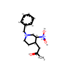 CC(=O)CC1CCN(Cc2ccccc2)CC1[N+](=O)[O-]